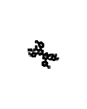 O=C(O)N[C@H](CN1CC[C@@H](F)C1)[C@H](OC(=O)C(=O)O[C@H](c1cccc(Cl)c1)[C@@H](CN1CC[C@@H](F)C1)NC(=O)O)c1cccc(Cl)c1